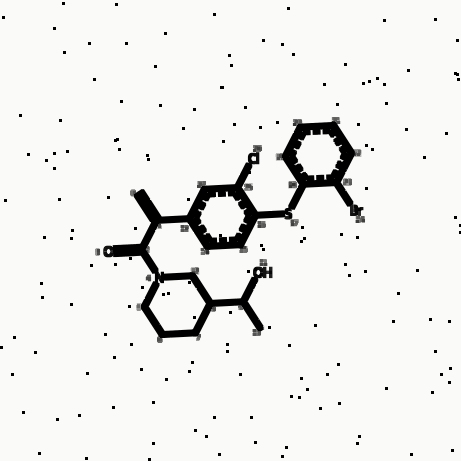 C=C(C(=O)N1CCCC(C(C)O)C1)c1ccc(Sc2ccccc2Br)c(Cl)c1